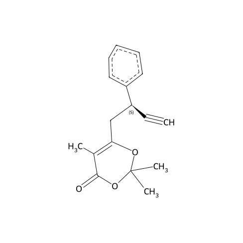 C#C[C@@H](CC1=C(C)C(=O)OC(C)(C)O1)c1ccccc1